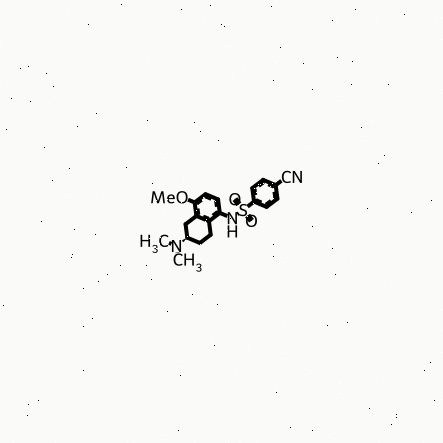 COc1ccc(NS(=O)(=O)c2ccc(C#N)cc2)c2c1C[C@@H](N(C)C)CC2